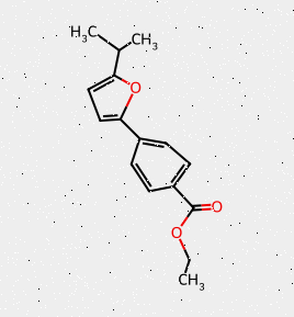 CCOC(=O)c1ccc(-c2ccc(C(C)C)o2)cc1